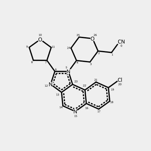 N#CCC1CC(n2c(C3CCOC3)nc3cnc4ccc(Cl)cc4c32)CCO1